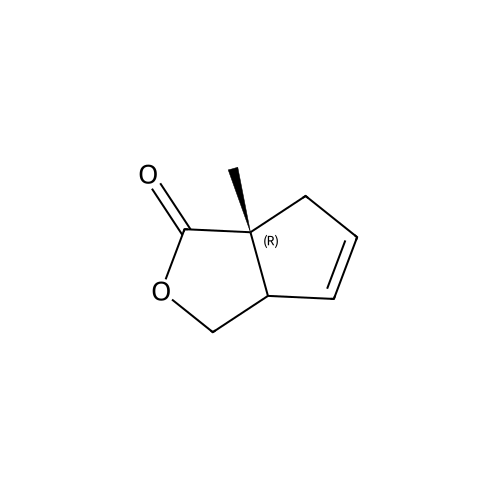 C[C@@]12CC=CC1COC2=O